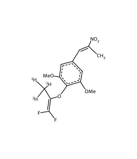 [2H]C([2H])([2H])C(Oc1c(OC)cc(C=C(C)[N+](=O)[O-])cc1OC)=C(F)F